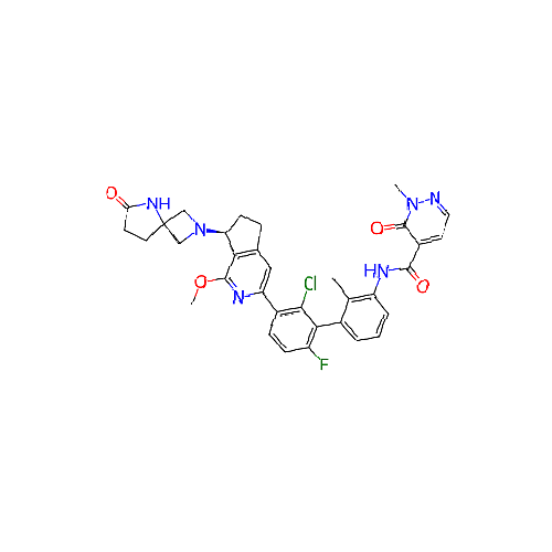 COc1nc(-c2ccc(F)c(-c3cccc(NC(=O)c4ccnn(C)c4=O)c3C)c2Cl)cc2c1[C@@H](N1CC3(CCC(=O)N3)C1)CC2